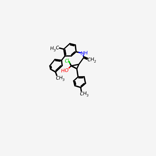 C=C(Nc1ccc(C)c(-c2cccc(C)c2)c1)C1C(c2ccc(C)cc2)C1(O)Cl